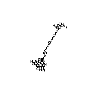 COc1cc(Nc2c(C#N)cnc3cc(OCCCN4CCN(CCCCCCOCCCCCOCCCCCC(=O)OC(C)(C)C)CC4)c(OC)cc23)c(Cl)cc1Cl